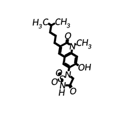 CC(C)CCCc1cc2cc(N3CC(=O)NS3(=O)=O)c(O)cc2n(C)c1=O